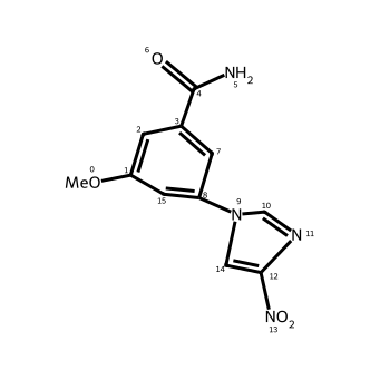 COc1cc(C(N)=O)cc(-n2cnc([N+](=O)[O-])c2)c1